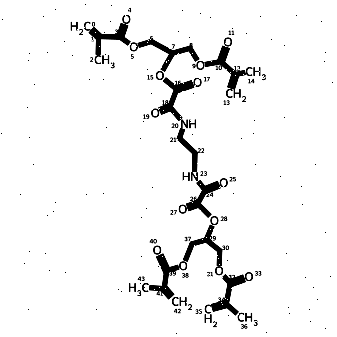 C=C(C)C(=O)OCC(COC(=O)C(=C)C)OC(=O)C(=O)NCCNC(=O)C(=O)OC(COC(=O)C(=C)C)COC(=O)C(=C)C